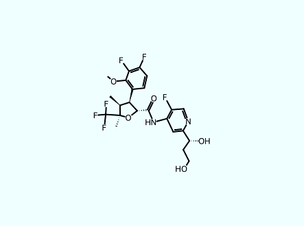 COc1c([C@H]2[C@H](C(=O)Nc3cc([C@H](O)CCO)ncc3F)O[C@@](C)(C(F)(F)F)[C@H]2C)ccc(F)c1F